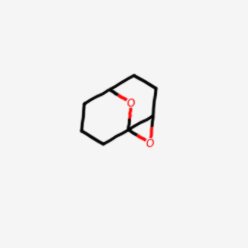 C1CC2CCC3OC3(C1)O2